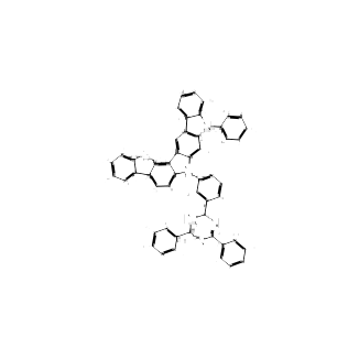 c1ccc(C2=NC(c3cccc(-n4c5cc6c(cc5c5c7sc8ccccc8c7ccc54)c4ccccc4n6-c4ccccc4)c3)NC(c3ccccc3)N2)cc1